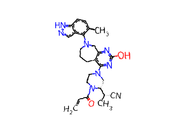 C=CC(=O)N1CCN(c2nc(O)nc3c2CCCN(c2c(C)ccc4[nH]ncc24)C3)C[C@@H]1[C@@H](C)C#N